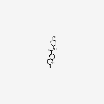 C=C1CCc2cc(C(=O)NC3CCN(C(C)=O)CC3)ccc2N1